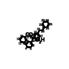 O=C(O)c1ccccc1.O=C(O)c1ccccc1.OCC(CO)CCc1ccccc1